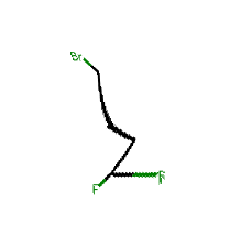 FC(F)CCCBr